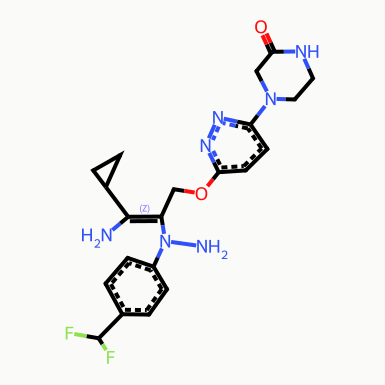 N/C(=C(/COc1ccc(N2CCNC(=O)C2)nn1)N(N)c1ccc(C(F)F)cc1)C1CC1